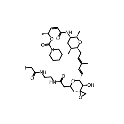 CC(/C=C/[C@H]1O[C@H](CC(=O)NCCNC(=O)CI)C[C@@]2(CO2)[C@@H]1O)=C\C[C@@H]1O[C@H](C)[C@H](NC(=O)/C=C\[C@H](C)OC(=O)N2CCCCC2)C[C@@H]1C